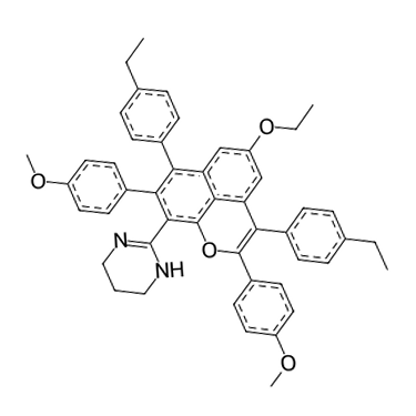 CCOc1cc2c3c(c(C4=NCCCN4)c(-c4ccc(OC)cc4)c(-c4ccc(CC)cc4)c3c1)OC(c1ccc(OC)cc1)=C2c1ccc(CC)cc1